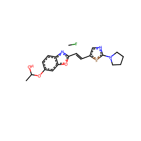 CC(O)Oc1ccc2nc(C=Cc3cnc(N4CCCC4)s3)oc2c1.CF